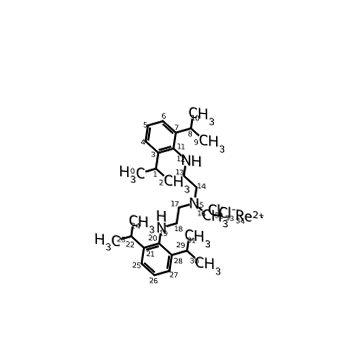 CC(C)c1cccc(C(C)C)c1NCCN(C)CCNc1c(C(C)C)cccc1C(C)C.[Cl-].[Cl-].[Re+2]